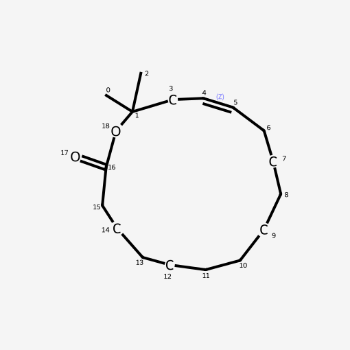 CC1(C)C/C=C\CCCCCCCCCCC(=O)O1